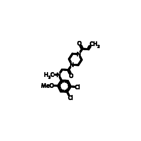 C=CC(=O)N1CCN(C(=O)CN(C)c2cc(Cl)c(Cl)cc2OC)CC1